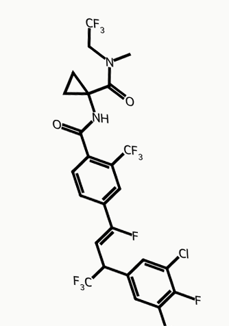 CN(CC(F)(F)F)C(=O)C1(NC(=O)c2ccc(C(F)=CC(c3cc(Cl)c(F)c(Cl)c3)C(F)(F)F)cc2C(F)(F)F)CC1